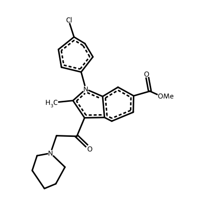 COC(=O)c1ccc2c(C(=O)CN3CCCCC3)c(C)n(-c3ccc(Cl)cc3)c2c1